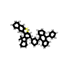 CC1(C)c2ccccc2-c2c(-c3cccc(-c4c5ccccc5c(-c5ccccc5)c5ccccc45)c3)cc3sc4cc5ccccc5cc4c3c21